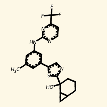 Cc1cc(Nc2nccc(C(F)(F)F)n2)cc(-c2cnc(C3(O)CCCC4CC43)s2)c1